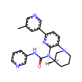 Cc1cncc(-c2ccc3c(n2)N(C(=O)Nc2cccnc2)[C@H]2CCCN3C2)c1